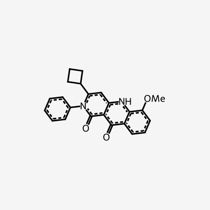 COc1cccc2c(=O)c3c(=O)n(-c4ccccc4)c(C4CCC4)cc3[nH]c12